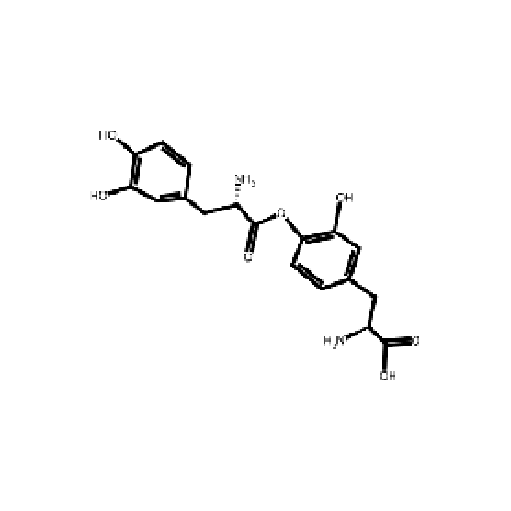 N[C@@H](Cc1ccc(OC(=O)[C@@H](N)Cc2ccc(O)c(O)c2)c(O)c1)C(=O)O